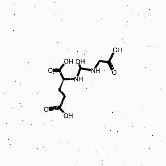 O=C(O)CC[C@H](NC(O)NCC(=O)O)C(=O)O